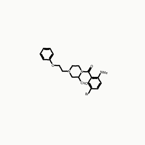 CNc1ccc(Br)cc1C(=O)N1CCN(CCOc2ccccc2)CC1C=O